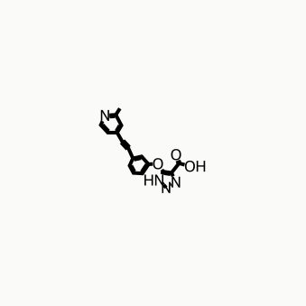 Cc1cc(C#Cc2cccc(Oc3[nH]nnc3C(=O)O)c2)ccn1